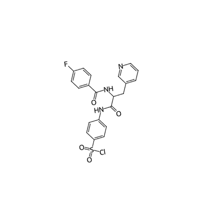 O=C(NC(Cc1cccnc1)C(=O)Nc1ccc(S(=O)(=O)Cl)cc1)c1ccc(F)cc1